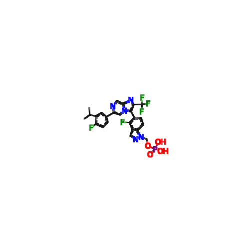 CC(C)c1cc(-c2cn3c(-c4ccc5c(cnn5COP(=O)(O)O)c4F)c(C(F)(F)F)nc3cn2)ccc1F